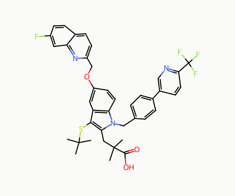 CC(C)(C)Sc1c(CC(C)(C)C(=O)O)n(Cc2ccc(-c3ccc(C(F)(F)F)nc3)cc2)c2ccc(OCc3ccc4ccc(F)cc4n3)cc12